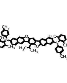 Cc1ccc(N(c2ccc3cc4c(cc3c2)oc2c(C(C)C)c3c(cc24)oc2cc4cc(N(c5ccc(C)cc5)c5c(C)cccc5C)ccc4cc23)c2c(C)cccc2C)cc1